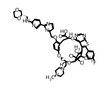 Cc1c(Cl)c2c(Cl)c(C)c1-c1c(-c3ccc(F)cc3)sc3ncnc(c13)O[C@@H](C(=O)O)Cc1cc(ccc1OCc1ccnc(-c3ccc(NC[C@H]4COCCO4)nc3)n1)OC[C@@H](CN1CCN(C)CC1)O2